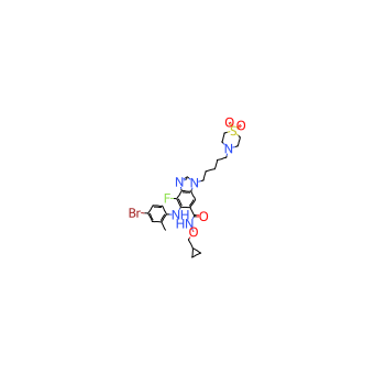 Cc1cc(Br)ccc1Nc1c(C(=O)NOCC2CC2)cc2c(ncn2CCCCCN2CCS(=O)(=O)CC2)c1F